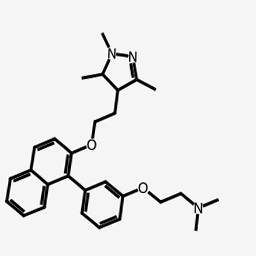 CC1=NN(C)C(C)C1CCOc1ccc2ccccc2c1-c1cccc(OCCN(C)C)c1